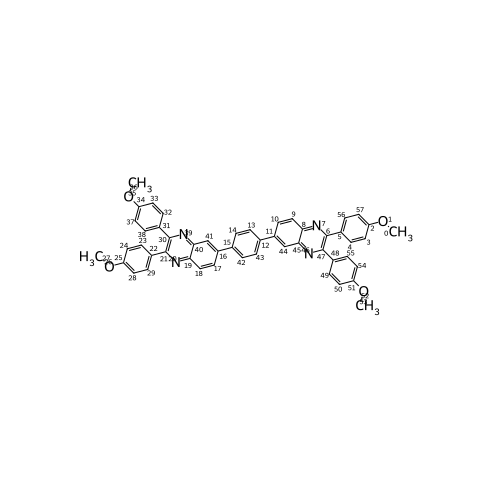 COc1ccc(-c2nc3ccc(-c4ccc(-c5ccc6nc(-c7ccc(OC)cc7)c(-c7ccc(OC)cc7)nc6c5)cc4)cc3nc2-c2ccc(OC)cc2)cc1